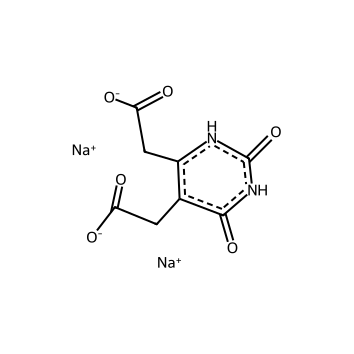 O=C([O-])Cc1[nH]c(=O)[nH]c(=O)c1CC(=O)[O-].[Na+].[Na+]